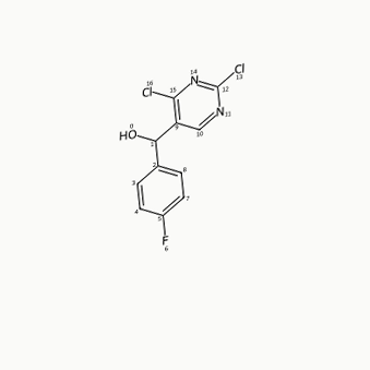 OC(c1ccc(F)cc1)c1cnc(Cl)nc1Cl